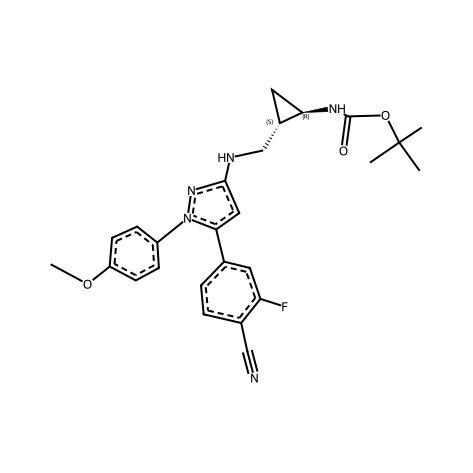 COc1ccc(-n2nc(NC[C@@H]3C[C@H]3NC(=O)OC(C)(C)C)cc2-c2ccc(C#N)c(F)c2)cc1